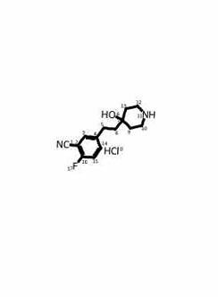 Cl.N#Cc1cc(CCC2(O)CCNCC2)ccc1F